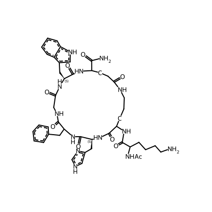 CC(=O)NC(CCCCN)C(=O)NC1CCCNC(=O)CCC(C(N)=O)NC(=O)[C@H](Cc2c[nH]c3ccccc23)NC(=O)CNC(=O)C(Cc2ccccc2)NC(=O)[C@H](Cc2c[nH]cn2)NC1=O